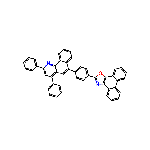 c1ccc(-c2cc(-c3ccccc3)c3cc(-c4ccc(-c5nc6c7ccccc7c7ccccc7c6o5)cc4)c4ccccc4c3n2)cc1